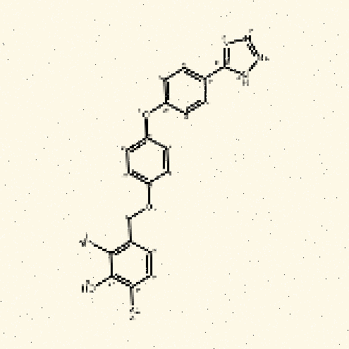 CCCc1c(COc2ccc(Oc3ccc(-c4nnn[nH]4)cc3)cc2)ccc(C(C)=O)c1O